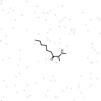 CCCCCCC(=O)[C@H](C)NC